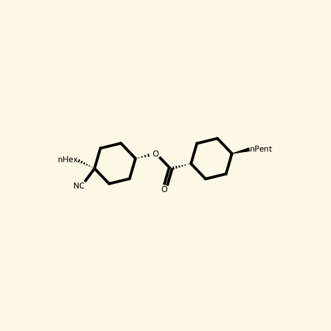 CCCCCC[C@]1(C#N)CC[C@H](OC(=O)[C@H]2CC[C@H](CCCCC)CC2)CC1